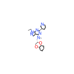 CCn1ncc2c(N(C)C[C@H]3COc4ccccc4O3)nc(-c3cccnc3)nc21